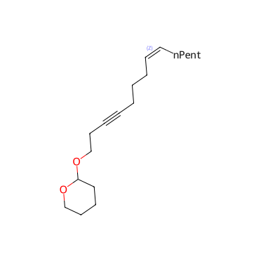 CCCCC/C=C\CCCC#CCCOC1CCCCO1